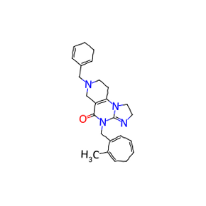 CC1=CCC=CC=C1CN1C(=O)C2=C(CCN(CC3=CCCC=C3)C2)N2CCN=C12